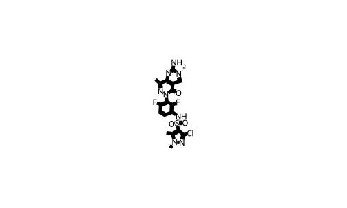 Cc1nn(-c2c(F)ccc(NS(=O)(=O)c3c(Cl)nn(C)c3C)c2F)c(=O)c2cnc(N)nc12